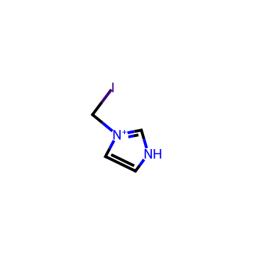 IC[n+]1cc[nH]c1